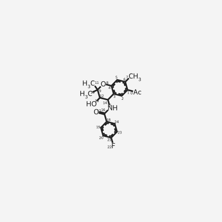 CC(=O)c1cc2c(cc1C)OC(C)(C)C(O)C2NC(=O)c1ccc(F)cc1